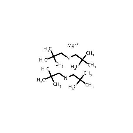 CC(C)(C)C[N-]CC(C)(C)C.CC(C)(C)C[N-]CC(C)(C)C.[Mg+2]